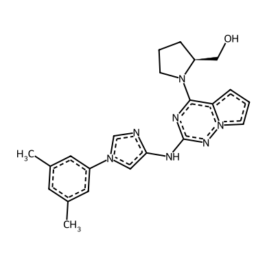 Cc1cc(C)cc(-n2cnc(Nc3nc(N4CCC[C@H]4CO)c4cccn4n3)c2)c1